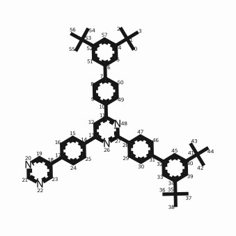 CC(C)(C)c1cc(-c2ccc(-c3cc(-c4ccc(-c5cncnc5)cc4)nc(-c4ccc(-c5cc(C(C)(C)C)cc(C(C)(C)C)c5)cc4)n3)cc2)cc(C(C)(C)C)c1